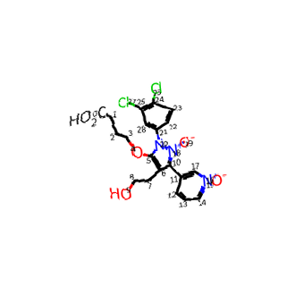 O=C(O)CCCOc1c(CCO)c(-c2ccc[n+]([O-])c2)[n+]([O-])n1-c1ccc(Cl)c(Cl)c1